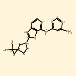 Nc1cc(Nc2nccc3nc(N4CCC5(C4)CC5(F)F)sc23)ncn1